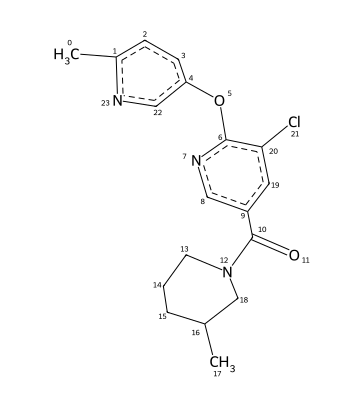 Cc1ccc(Oc2ncc(C(=O)N3CCCC(C)C3)cc2Cl)cn1